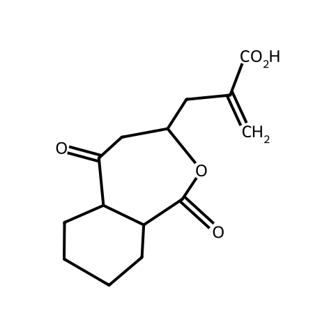 C=C(CC1CC(=O)C2CCCCC2C(=O)O1)C(=O)O